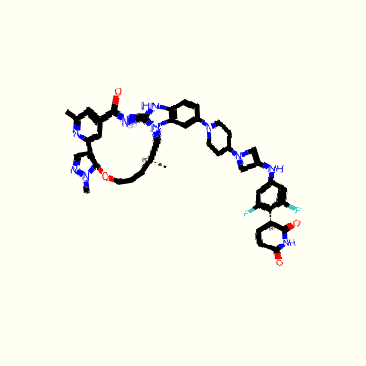 Cc1cc2cc(n1)-c1cnn(C)c1OCCC[C@@H](C)CN1/C(=N/C2=O)Nc2ccc(N3CCC(N4CC(Nc5cc(F)c([C@H]6CCC(=O)NC6=O)c(F)c5)C4)CC3)cc21